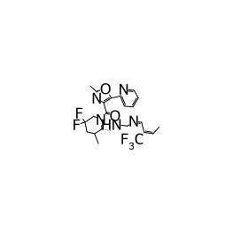 C/C=C(\C=N/CNC[C@@H]1C(C)CC(F)(F)CN1C(=O)c1nc(C)oc1-c1ccccn1)C(F)(F)F